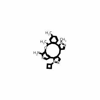 Cc1ccc2c(c1)C(C)Oc1cc(cnc1N)-c1c(cnn1C1CCC1)Cc1cnn(C)c1-2